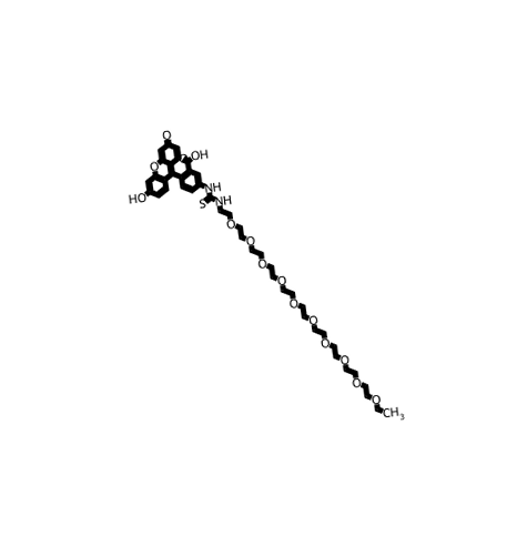 CCOCCOCCOCCOCCOCCOCCOCCOCCOCCOCCNC(=S)Nc1ccc(-c2c3ccc(=O)cc-3oc3cc(O)ccc23)c(C(=O)O)c1